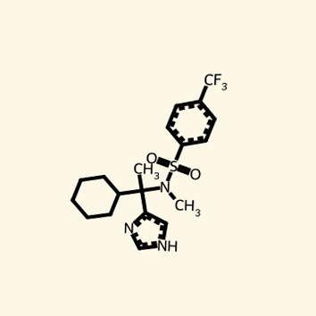 CN(C(C)(c1c[nH]cn1)C1CCCCC1)S(=O)(=O)c1ccc(C(F)(F)F)cc1